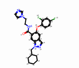 O=C(NCCn1ccnc1)c1cc2c(cnn2CC2CCCCC2)cc1Oc1ccc(F)cc1F